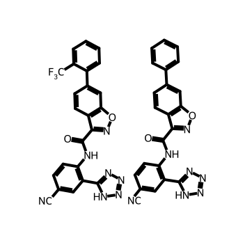 N#Cc1ccc(NC(=O)c2noc3cc(-c4ccccc4)ccc23)c(-c2nnn[nH]2)c1.N#Cc1ccc(NC(=O)c2noc3cc(-c4ccccc4C(F)(F)F)ccc23)c(-c2nnn[nH]2)c1